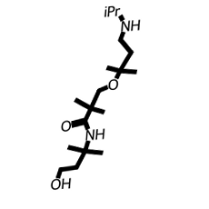 CC(C)NCCC(C)(C)OCC(C)(C)C(=O)NC(C)(C)CCO